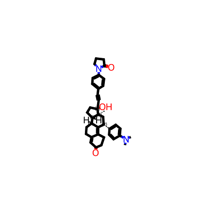 CN(C)c1ccc([C@H]2C[C@@]3(C)[C@@H](CC[C@@]3(O)C#Cc3ccc(N4CCCC4=O)cc3)[C@@H]3CCC4=CC(=O)CCC4=C32)cc1